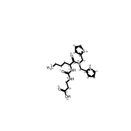 CCCCC(NC(=O)NCCC(=O)O)C(=O)N(Cc1cccs1)Cc1cccs1